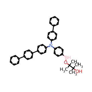 CC(C)(O)C(C)(C)OBc1ccc(N(c2ccc(-c3ccccc3)cc2)c2ccc(-c3ccc(-c4ccccc4)cc3)cc2)cc1